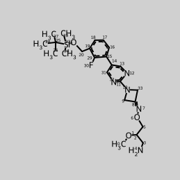 COC(CN)CON=C1CN(c2ncc(-c3cccc(CO[Si](C)(C)C(C)(C)C)c3F)cn2)C1